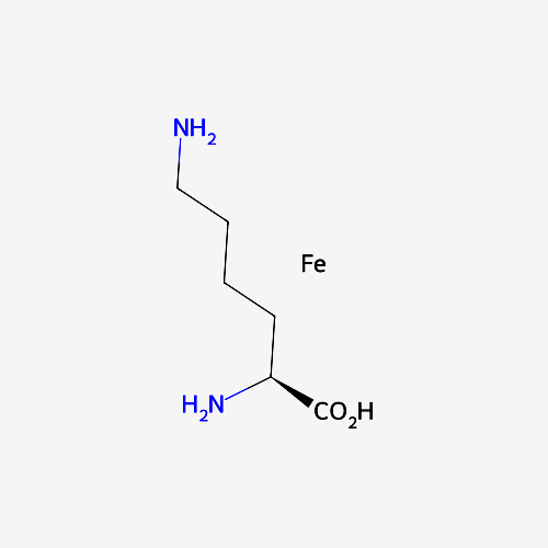 NCCCC[C@H](N)C(=O)O.[Fe]